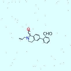 C=CCN1CCc2cc(-c3ccccc3C=O)ccc2C1=C=O